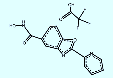 O=C(NO)c1ccc2oc(-c3ccccn3)nc2c1.O=C(O)C(F)(F)F